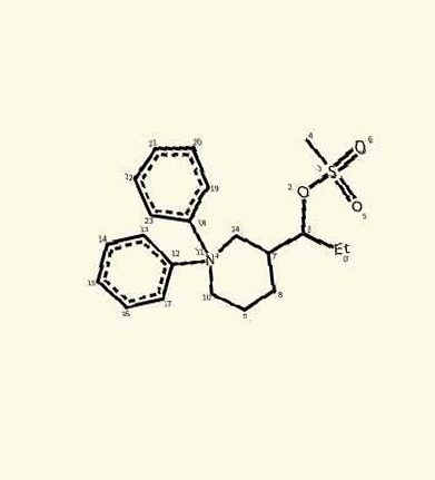 CCC(OS(C)(=O)=O)C1CCC[N+](c2ccccc2)(c2ccccc2)C1